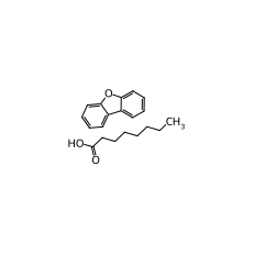 CCCCCCCC(=O)O.c1ccc2c(c1)oc1ccccc12